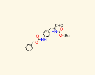 CC(C)(C)OC(=O)N[C@H](C=O)Cc1ccc(NC(=O)OCc2ccccc2)cc1